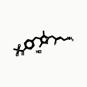 Cc1nn(C/C(F)=C/CN)c(C)c1Cc1ccc(NS(C)(=O)=O)cc1.Cl